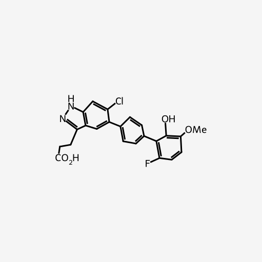 COc1ccc(F)c(-c2ccc(-c3cc4c(CCC(=O)O)n[nH]c4cc3Cl)cc2)c1O